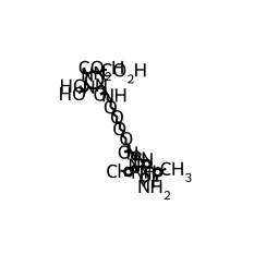 Cc1cc(F)cc(-c2cnc(N3CCN(C(=O)CCOCCOCCOCCOCCNC(=O)CN4CCN(CC(=O)O)CCN(CC(=O)O)CCN(CC(O)O)CC4)CC3)c(-c3nc4cc(Cl)ccc4[nH]3)c2N2CCC(N)CC2)c1